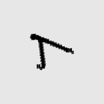 CCCCCCCCCCCCCCCCCCOCC(COCc1ccccc1)OCCCCCCCCCCCCCCCCCC